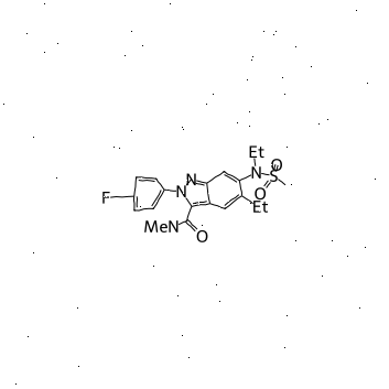 CCc1cc2c(C(=O)NC)n(-c3ccc(F)cc3)nc2cc1N(CC)S(C)(=O)=O